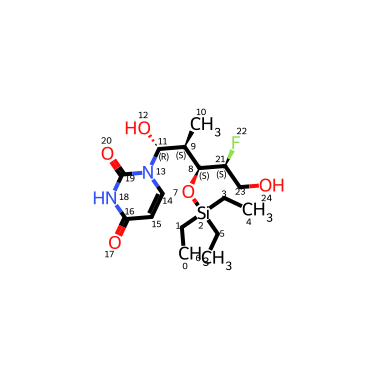 CC[Si](CC)(CC)O[C@@H]([C@H](C)[C@@H](O)n1ccc(=O)[nH]c1=O)[C@@H](F)CO